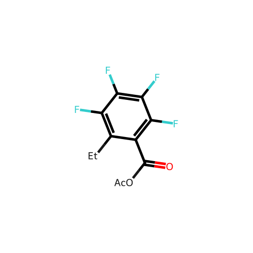 CCc1c(F)c(F)c(F)c(F)c1C(=O)OC(C)=O